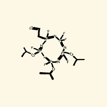 CC(C)OP1(F)=NP(F)(CC=O)=NP(F)(F)=NP(F)(OC(C)C)=NP(F)(OC(C)C)=N1